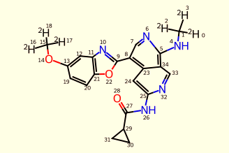 [2H]C([2H])([2H])Nc1ncc(-c2nc3cc(OC([2H])([2H])[2H])ccc3o2)c2cc(NC(=O)C3CC3)ncc12